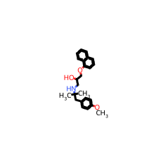 COc1ccc(CC(C)(C)NCC(O)COc2cccc3ccccc23)cc1